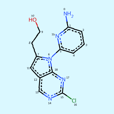 Nc1cccc(-n2c(CCO)cc3cnc(Cl)nc32)n1